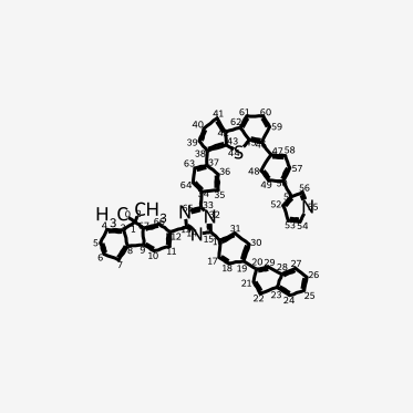 CC1(C)c2ccccc2-c2ccc(-c3nc(-c4ccc(-c5ccc6ccccc6c5)cc4)nc(-c4ccc(-c5cccc6c5sc5c(-c7ccc(-c8cccnc8)cc7)cccc56)cc4)n3)cc21